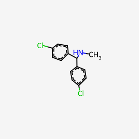 CNC(c1ccc(Cl)cc1)c1ccc(Cl)cc1